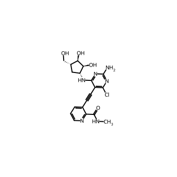 CNC(=O)c1ncccc1C#Cc1c(Cl)nc(N)nc1N[C@@H]1C[C@H](CO)[C@@H](O)[C@H]1O